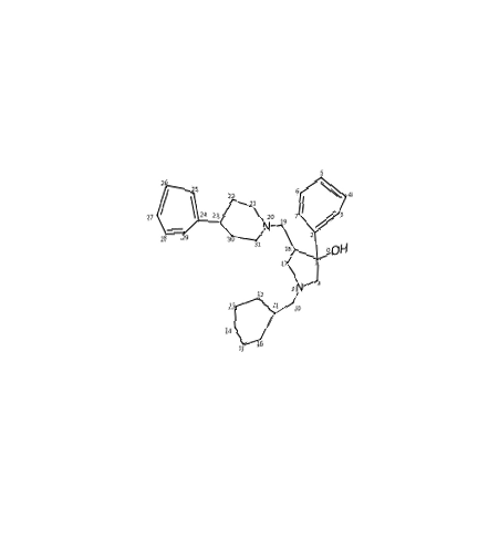 OC1(c2ccccc2)CN(CC2CCCCC2)CC1CN1CCC(c2ccccc2)CC1